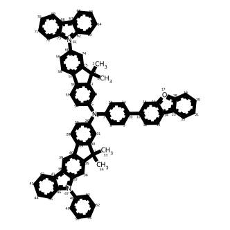 CC1(C)c2cc(N(c3ccc(-c4ccc5c(c4)oc4ccccc45)cc3)c3ccc4c(c3)C(C)(C)c3cc5c(cc3-4)c3ccccc3n5-c3ccccc3)ccc2-c2ccc(-n3c4ccccc4c4ccccc43)cc21